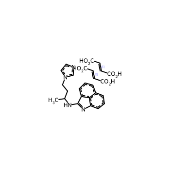 CC(CCn1ccnc1)NC1=Nc2cccc3cccc1c23.O=C(O)/C=C/C(=O)O.O=C(O)/C=C/C(=O)O